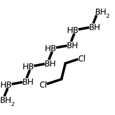 BBBBBBBBBB.ClCCCl